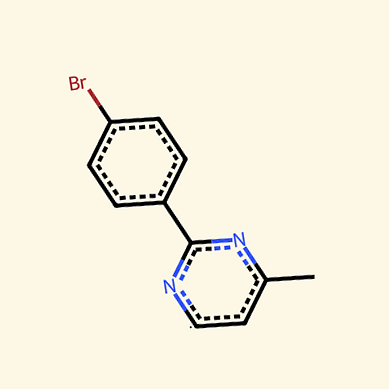 Cc1c[c]nc(-c2ccc(Br)cc2)n1